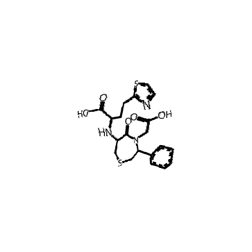 O=C(O)CN1C(=O)C(NC(CCc2nccs2)C(=O)O)CSCC1c1ccccc1